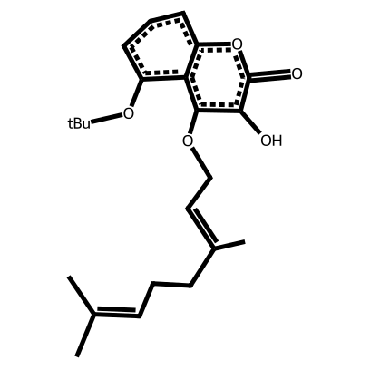 CC(C)=CCC/C(C)=C/COc1c(O)c(=O)oc2cccc(OC(C)(C)C)c12